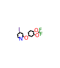 FC1(F)Oc2ccc(Oc3cc(I)ccn3)cc2O1